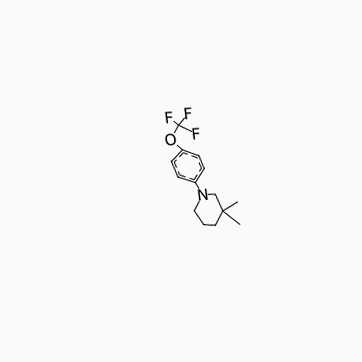 CC1(C)CCCN(c2ccc(OC(F)(F)F)cc2)C1